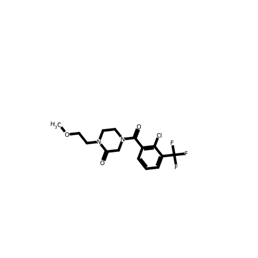 COCCN1CCN(C(=O)c2cccc(C(F)(F)F)c2Cl)CC1=O